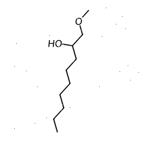 CCCCCCCC(O)COC